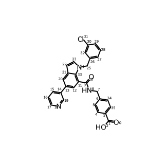 O=C(O)c1ccc(CNC(=O)c2cc(-c3cccnc3)cc3ccn(Cc4cccc(Cl)c4)c23)cc1